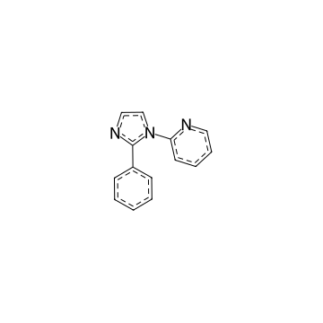 c1ccc(-c2nccn2-c2ccccn2)cc1